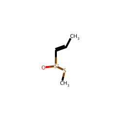 C/C=C/[S+]([O-])SC